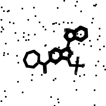 O=C(c1cc2c(cn1)c(-c1c[nH]c3ccccc13)nn2CC(F)(F)F)N1CCCCCC1